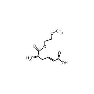 C=C(CC=CC(=O)O)C(=O)OCCOC